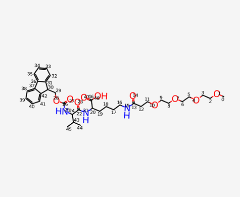 COCCOCCOCCOCCC(=O)NCCCCC(NC(=O)C(NC(=O)OCC1c2ccccc2-c2ccccc21)C(C)C)C(=O)O